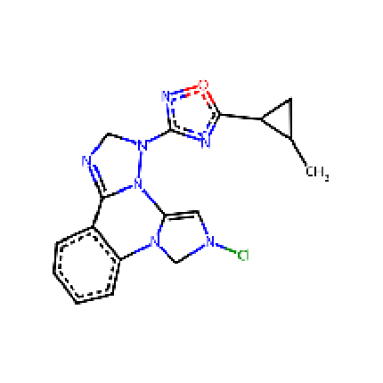 CC1CC1c1nc(N2CN=C3c4ccccc4N4CN(Cl)C=C4N32)no1